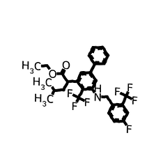 CCOC(=O)C(CC(C)C)c1cc(-c2ccccc2)cc(NCc2ccc(F)cc2C(F)(F)F)c1C(F)(F)F